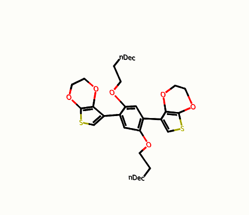 CCCCCCCCCCCCOc1cc(-c2csc3c2OCCO3)c(OCCCCCCCCCCCC)cc1-c1csc2c1OCCO2